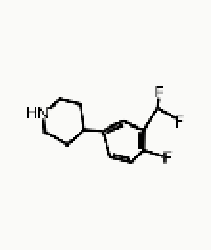 Fc1ccc(C2CCNCC2)cc1C(F)F